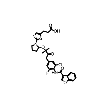 CC(C)(O[C@H]1CCCN1c1ncc(CCC(=O)O)s1)C(=O)Cc1cc(F)c(NC(=O)c2coc3ccccc23)c(Cl)c1